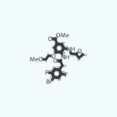 COCCOc1cc(C(=O)OC)cc(NCC2CCO2)c1NC(=O)Cc1cc(F)c(Br)cc1F